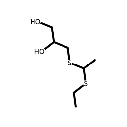 CCSC(C)SCC(O)CO